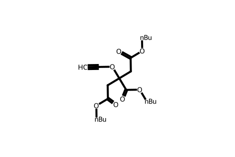 C#COC(CC(=O)OCCCC)(CC(=O)OCCCC)C(=O)OCCCC